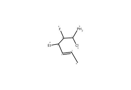 CC=CC(CC)C(F)C(P)Cl